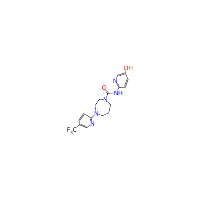 O=C(Nc1ccc(O)cn1)N1CCCN(c2ccc(C(F)(F)F)cn2)CC1